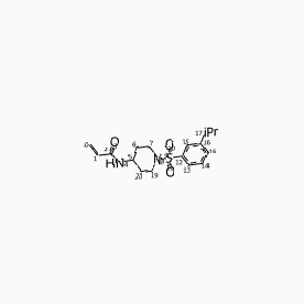 C=CC(=O)NC1CCN(S(=O)(=O)c2cccc(C(C)C)c2)CC1